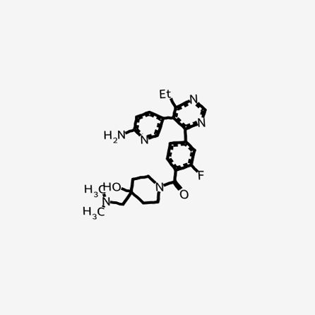 CCc1ncnc(-c2ccc(C(=O)N3CCC(O)(CN(C)C)CC3)c(F)c2)c1-c1ccc(N)nc1